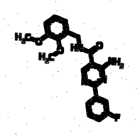 COc1cccc(CNC(=O)c2cnc(-c3cccc(F)c3)nc2N)c1OC